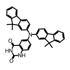 CC1(C)c2ccccc2-c2ccc(N(c3ccc4c(c3)C(C)(C)c3ccccc3-4)c3ccc4[nH]c(=O)[nH]c(=O)c4c3)cc21